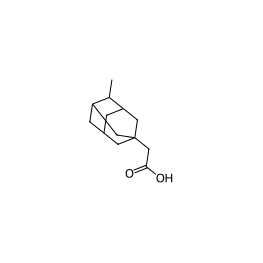 CC1C2CC3CC1CC(CC(=O)O)(C3)C2